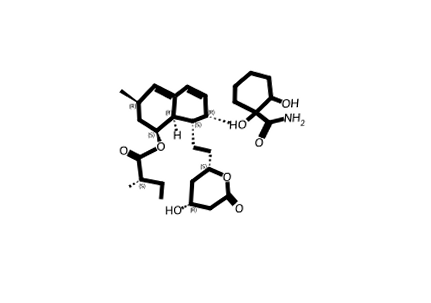 CC[C@H](C)C(=O)O[C@H]1C[C@@H](C)C=C2C=C[C@H](C)[C@H](CC[C@H]3C[C@@H](O)CC(=O)O3)[C@H]21.NC(=O)C1(O)CCCCC1O